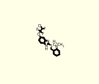 CN(C)c1ccccc1CSc1nc2cc(OC(F)(F)C(F)Cl)ccc2[nH]1